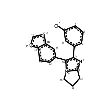 Clc1cccc(-c2nc3n(c2-c2ccc4ncsc4c2)CCC3)c1